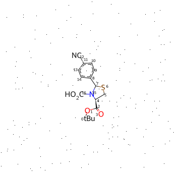 CC(C)(C)OC(=O)[C@@H]1CSC(c2ccc(C#N)cc2)N1C(=O)O